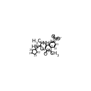 CC(Nc1cc(=O)n(C)c2ccc([N+](=O)[O-])cc12)C(=O)NC1CCCC1